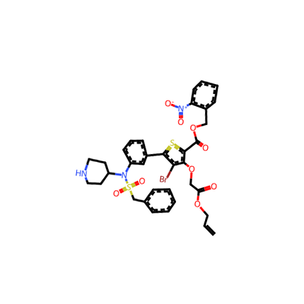 C=CCOC(=O)COc1c(C(=O)OCc2ccccc2[N+](=O)[O-])sc(-c2cccc(N(C3CCNCC3)S(=O)(=O)Cc3ccccc3)c2)c1Br